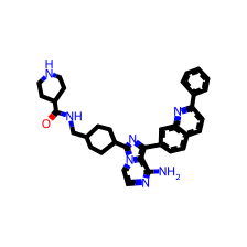 Nc1nccn2c(C3CCC(CNC(=O)C4CCNCC4)CC3)nc(-c3ccc4ccc(-c5ccccc5)nc4c3)c12